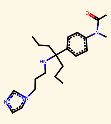 CCCC(CCC)(NCCCn1ccnc1)c1ccc(N(C)C(C)=O)cc1